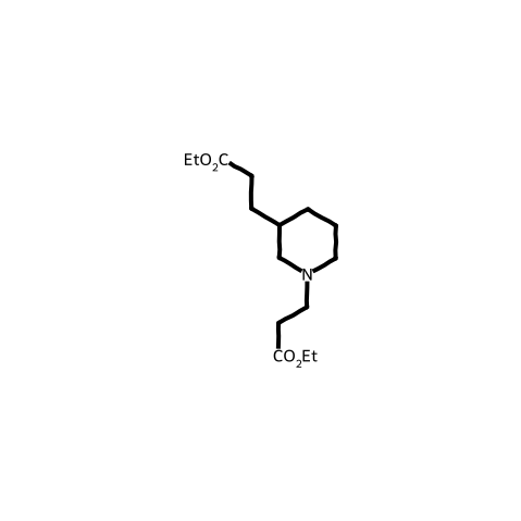 CCOC(=O)CCC1CCCN(CCC(=O)OCC)C1